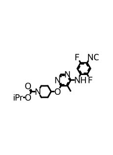 [C-]#[N+]c1cc(F)c(Nc2ncnc(OC3CCN(C(=O)OC(C)C)CC3)c2C)cc1F